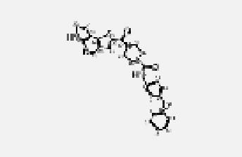 O=C(Nc1ccc(Oc2ccccc2)cc1)N1CCN(C(=O)c2cc3cnc4[nH]ccc4c3s2)CC1